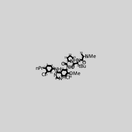 CCCc1ccc(Nc2ncnc3cc(OC)c(NC(=O)[C@@H]4CCCN4C(=O)[C@@H](NC(=O)[C@H](C)NC)C(C)(C)C)cc23)cc1Cl.Cl